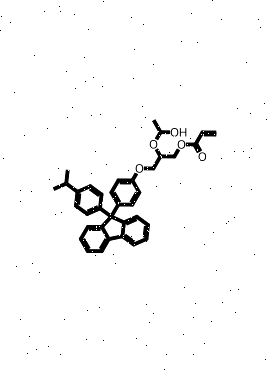 C=CC(=O)OCC(COc1ccc(C2(c3ccc(C(C)C)cc3)c3ccccc3-c3ccccc32)cc1)OC(C)O